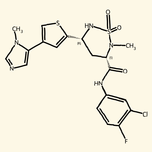 CN1[C@H](C(=O)Nc2ccc(F)c(Cl)c2)C[C@H](c2cc(-c3cncn3C)cs2)NS1(=O)=O